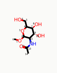 COC1OC(CO)[C@@H](O)[C@H](O)C1NC(C)=O